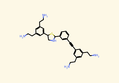 NCCc1cc(C#Cc2cccc(C3NCC(c4cc(CCN)cc(CCN)c4)S3)c2)cc(CCN)c1